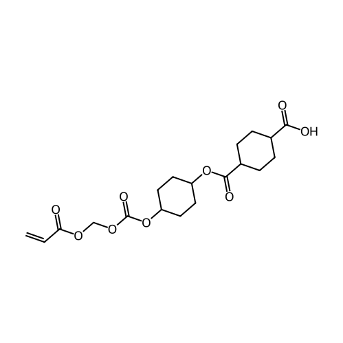 C=CC(=O)OCOC(=O)OC1CCC(OC(=O)C2CCC(C(=O)O)CC2)CC1